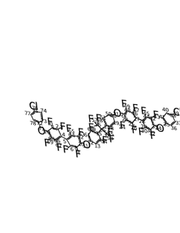 Fc1c(F)c(-c2c(F)c(F)c(Oc3ccc(C(c4ccc(Oc5c(F)c(F)c(-c6c(F)c(F)c(Oc7ccc(Cl)cc7)c(F)c6F)c(F)c5F)cc4)(C(F)(F)F)C(F)(F)F)cc3)c(F)c2F)c(F)c(F)c1Oc1ccc(Cl)cc1